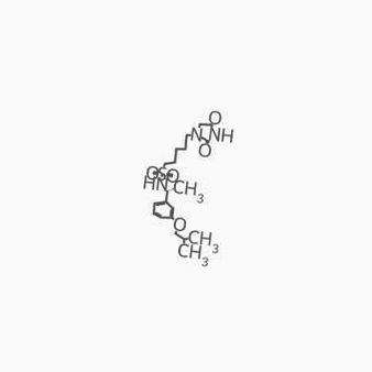 CC(C)COc1cccc([C@@H](C)NS(=O)(=O)CCCCCN2CC(=O)NC2=O)c1